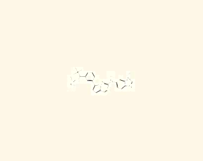 C[SiH](C)OC(c1cccc(-c2ccc3cnc(Nc4ccc5nc[nH]c5c4)nn23)c1)C(C)(C)C